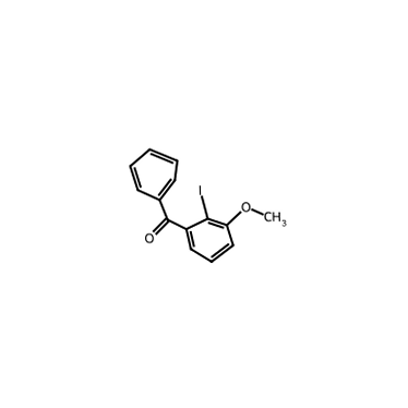 COc1cccc(C(=O)c2ccccc2)c1I